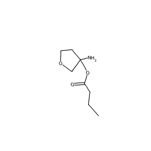 CCCC(=O)OC1(N)CCOC1